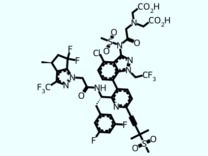 C[C@H]1CC(F)(F)c2c1c(C(F)(F)F)nn2CC(=O)N[C@@H](Cc1cc(F)cc(F)c1)c1nc(C#CC(C)(C)S(C)(=O)=O)ccc1-c1ccc(Cl)c2c(N(C(=O)CN(CC(=O)O)CC(=O)O)S(C)(=O)=O)nn(CC(F)(F)F)c12